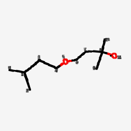 CC(C)CCOCCC(C)(C)[O]